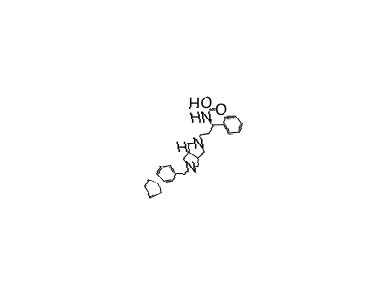 C1CCCC1.O=C(O)NC(CCN1CC2CN(Cc3ccccc3)C[C@@H]2C1)c1ccccc1